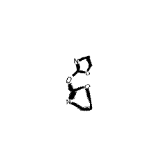 C1COC(OC2=NCCO2)=N1